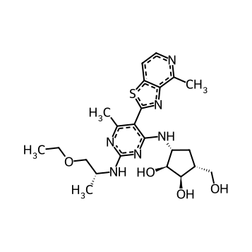 CCOC[C@@H](C)Nc1nc(C)c(-c2nc3c(C)nccc3s2)c(N[C@@H]2C[C@H](CO)[C@@H](O)[C@H]2O)n1